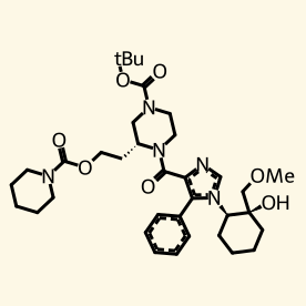 COC[C@]1(O)CCCC[C@H]1n1cnc(C(=O)N2CCN(C(=O)OC(C)(C)C)C[C@H]2CCOC(=O)N2CCCCC2)c1-c1ccccc1